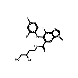 Cn1cnc2c(F)c(Nc3ccc(I)cc3F)c(C(=O)NCCC(O)CO)cc21